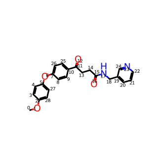 COc1ccc(Oc2ccc(C(=O)CCC(=O)NCc3cccnc3)cc2)cc1